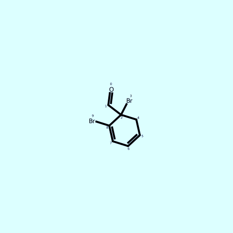 O=CC1(Br)CC=CC=C1Br